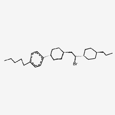 CCCCCc1ccc([C@H]2CC[C@H](CC(Br)[C@H]3CC[C@H](CCC)CC3)CC2)cc1